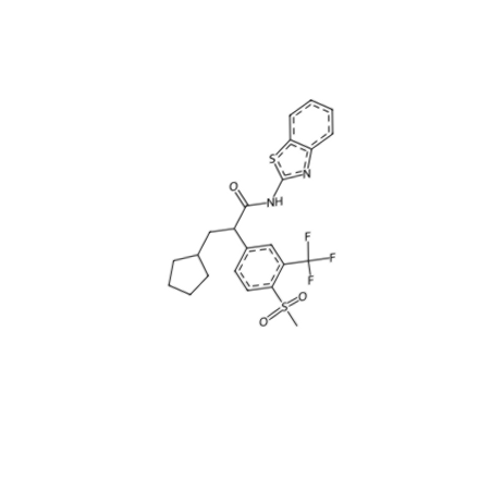 CS(=O)(=O)c1ccc(C(CC2CCCC2)C(=O)Nc2nc3ccccc3s2)cc1C(F)(F)F